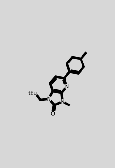 CC1CC=C(c2ccc3c(n2)n(C)c(=O)n3CC(C)(C)C)CC1